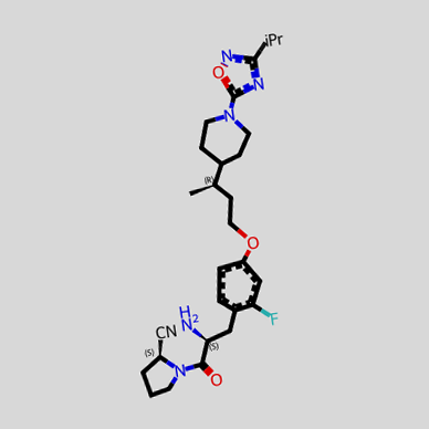 CC(C)c1noc(N2CCC([C@H](C)CCOc3ccc(C[C@H](N)C(=O)N4CCC[C@H]4C#N)c(F)c3)CC2)n1